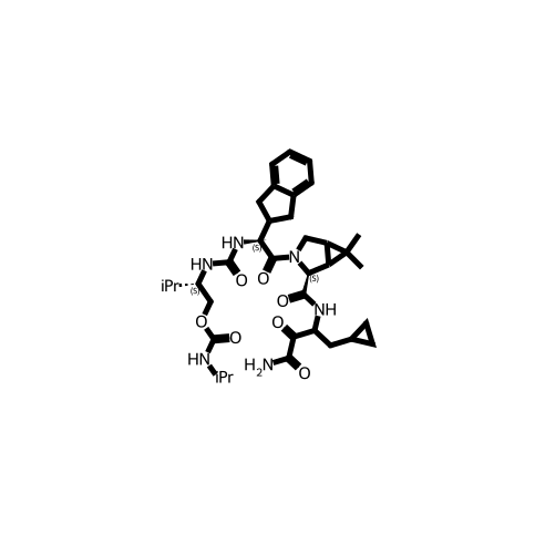 CC(C)NC(=O)OC[C@@H](NC(=O)N[C@H](C(=O)N1CC2C([C@H]1C(=O)NC(CC1CC1)C(=O)C(N)=O)C2(C)C)C1Cc2ccccc2C1)C(C)C